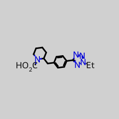 CCn1nnc(-c2ccc(CC3CCCCN3C(=O)O)cc2)n1